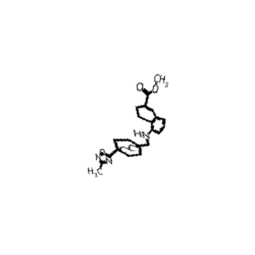 COC(=O)C1=Cc2cccc(NCC34CCC(c5nc(C)no5)(CC3)CC4)c2CC1